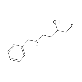 OC(CCl)CCNCc1ccccc1